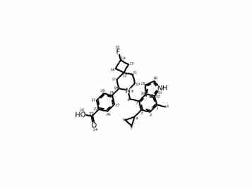 Cc1cc(C2CC2)c(CN2CCC3(CC(F)C3)CC2c2ccc(C(=O)O)cc2)c2cc[nH]c12